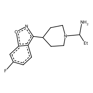 CCC(N)N1CCC(c2noc3cc(F)ccc23)CC1